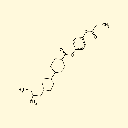 CCC(=O)Oc1ccc(OC(=O)C2CCC(C3CCC(CC(C)CC)CC3)CC2)cc1